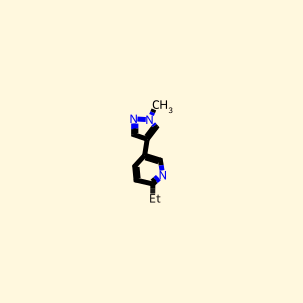 CCc1ccc(-c2cnn(C)c2)cn1